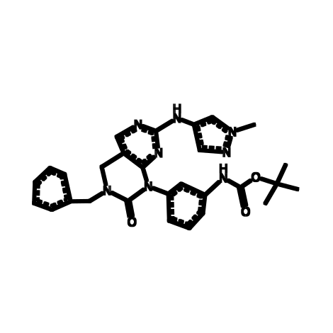 Cn1cc(Nc2ncc3c(n2)N(c2cccc(NC(=O)OC(C)(C)C)c2)C(=O)N(Cc2ccccc2)C3)cn1